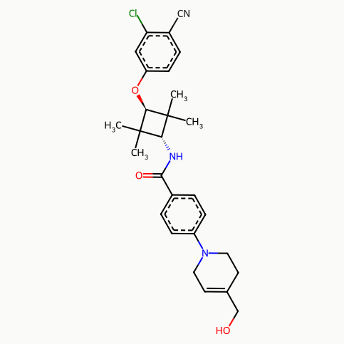 CC1(C)[C@H](NC(=O)c2ccc(N3CC=C(CO)CC3)cc2)C(C)(C)[C@H]1Oc1ccc(C#N)c(Cl)c1